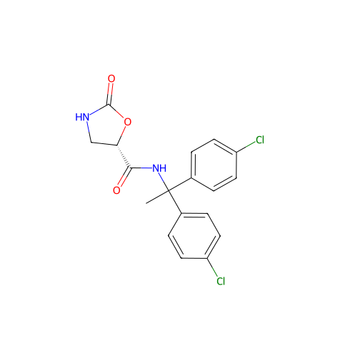 CC(NC(=O)[C@@H]1CNC(=O)O1)(c1ccc(Cl)cc1)c1ccc(Cl)cc1